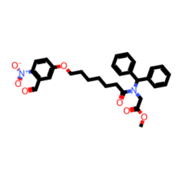 COC(=O)CN(C(=O)CCCCCCOc1ccc([N+](=O)[O-])c(C=O)c1)C(c1ccccc1)c1ccccc1